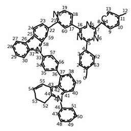 Cc1ccc(-c2nc(-c3ccc(C)cc3)nc(-c3ccnc(-c4ccc5c6ccccc6n(-c6ccc(-c7cccc8c7c7c(n8-c8ccccc8)CCC=C7)cc6)c5c4)c3)n2)cc1